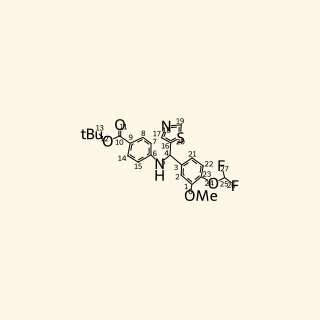 COc1cc(C(Nc2ccc(C(=O)OC(C)(C)C)cc2)c2cncs2)ccc1OC(F)F